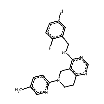 Cc1ccc(N2CCc3ncnc(NCc4cc(Cl)ccc4F)c3C2)nc1